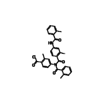 Cc1cc(N(C(=O)c2ccccc2C)C(=O)c2ccc(NC(=O)c3ccccc3C)cc2C)ccc1C(=O)Cl